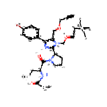 C#CCOCc1c(-c2ccc(Br)cc2)nc(C2CCCN2C(=O)C(CC=O)NC(=O)OC)n1COCC[Si](C)(C)C